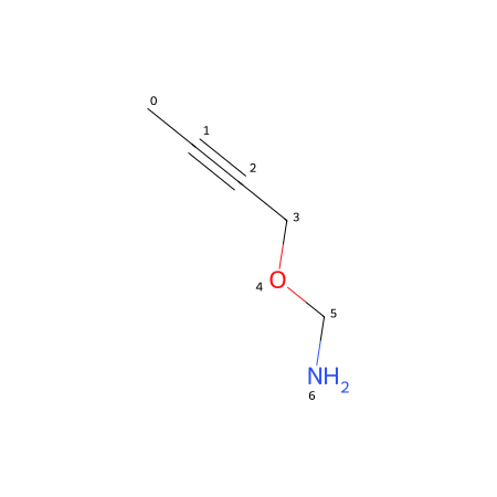 CC#CCOCN